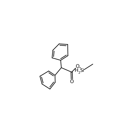 C[SiH2]OC(=O)C(c1ccccc1)c1ccccc1